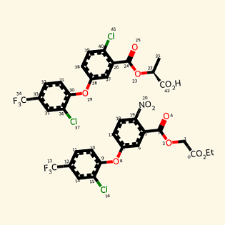 CCOC(=O)COC(=O)c1cc(Oc2ccc(C(F)(F)F)cc2Cl)ccc1[N+](=O)[O-].C[C@H](OC(=O)c1cc(Oc2ccc(C(F)(F)F)cc2Cl)ccc1Cl)C(=O)O